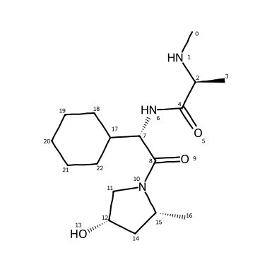 CN[C@@H](C)C(=O)N[C@H](C(=O)N1C[C@@H](O)C[C@H]1C)C1CCCCC1